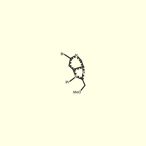 COCc1nc2cnc(Br)cc2n1C(C)C